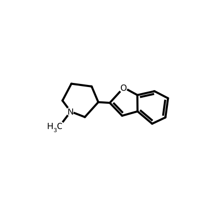 CN1CCCC(c2cc3ccccc3o2)C1